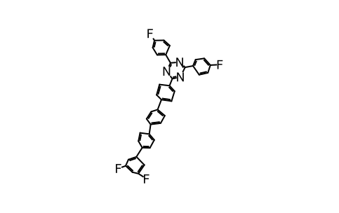 Fc1ccc(-c2nc(-c3ccc(F)cc3)nc(-c3ccc(-c4ccc(-c5ccc(-c6cc(F)cc(F)c6)cc5)cc4)cc3)n2)cc1